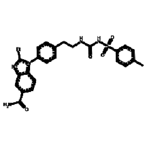 CCc1nc2cc(C(N)=O)ccc2n1-c1ccc(CCNC(=O)NS(=O)(=O)c2ccc(C)cc2)cc1